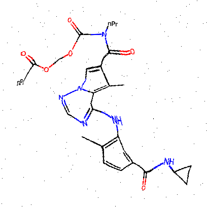 CCCC(=O)OCOC(=O)N(CCC)C(=O)c1cn2ncnc(Nc3cc(C(=O)NC4CC4)ccc3C)c2c1C